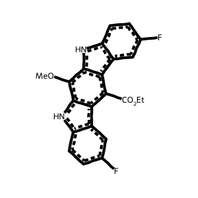 CCOC(=O)c1c2c([nH]c3ccc(F)cc32)c(OC)c2[nH]c3ccc(F)cc3c12